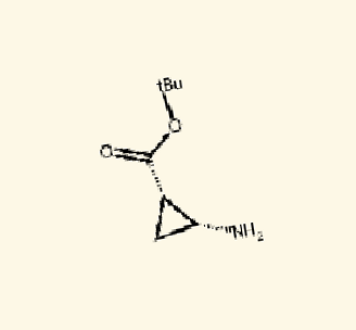 CC(C)(C)OC(=O)[C@H]1C[C@H]1N